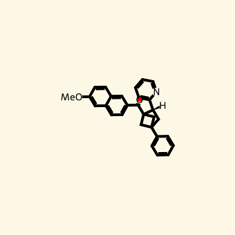 COc1ccc2cc(C(=O)C34CC(c5ccccc5)(C[C@H]3c3ccccn3)C4)ccc2c1